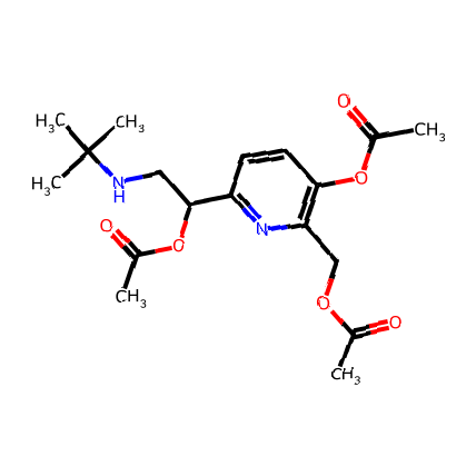 CC(=O)OCc1nc(C(CNC(C)(C)C)OC(C)=O)ccc1OC(C)=O